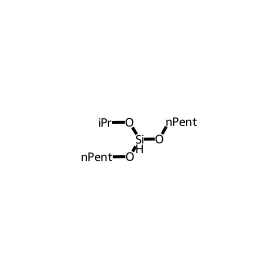 CCCCCO[SiH](OCCCCC)OC(C)C